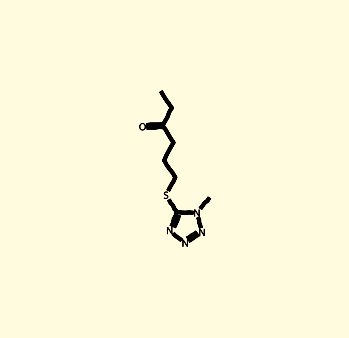 CCC(=O)CCCSc1nnnn1C